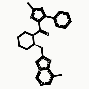 Cc1nc(C(=O)N2CCCC[C@H]2Cc2cn3cncc(C)c3n2)c(-c2ccccc2)s1